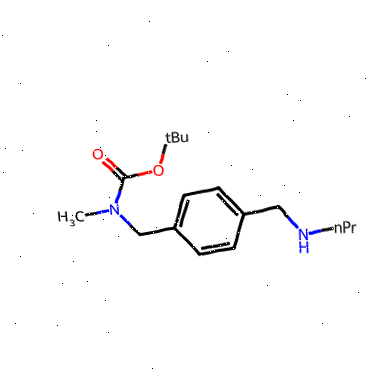 CCCNCc1ccc(CN(C)C(=O)OC(C)(C)C)cc1